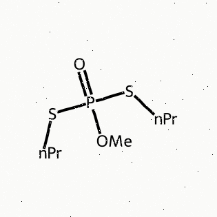 CCCSP(=O)(OC)SCCC